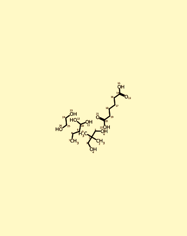 CC(C)(CO)CO.CCCC(O)O.O=C(O)CCCCC(=O)O.OCCO